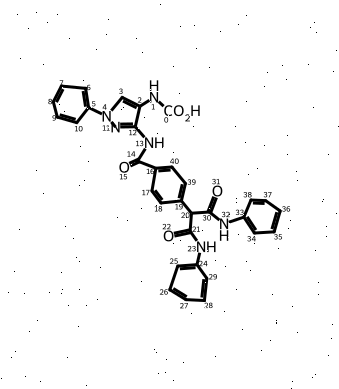 O=C(O)Nc1cn(-c2ccccc2)nc1NC(=O)c1ccc(C(C(=O)Nc2ccccc2)C(=O)Nc2ccccc2)cc1